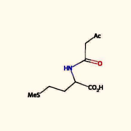 CSCCC(NC(=O)CC(C)=O)C(=O)O